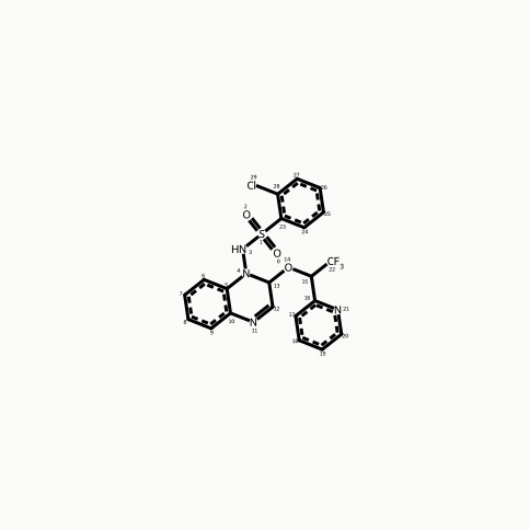 O=S(=O)(NN1c2ccccc2N=CC1OC(c1ccccn1)C(F)(F)F)c1ccccc1Cl